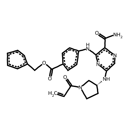 C=CC(=O)N1CC[C@@H](Nc2cnc(C(N)=O)c(Nc3ccc(C(=O)OCc4ccccc4)cc3)n2)C1